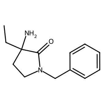 CCC1(N)CCN(Cc2ccccc2)C1=O